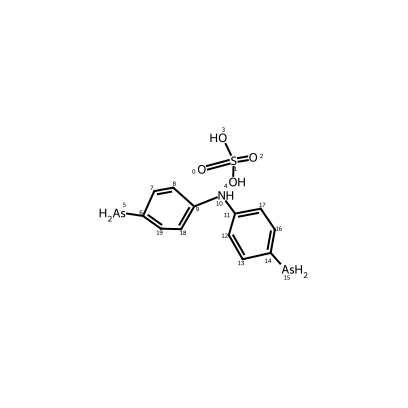 O=S(=O)(O)O.[AsH2]c1ccc(Nc2ccc([AsH2])cc2)cc1